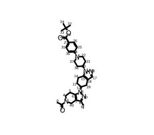 CC(=O)N1CCc2c(c(I)nn2C2CCc3c(cnn3C3CCN(c4ccc(C(=O)OC(C)(C)C)cc4)CC3)C2)C1